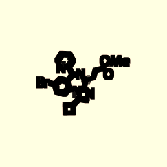 COC(=O)CC[C@@H]1N=C(c2ccccn2)c2cc(Br)ccc2-n2c(C3CCC3)cnc21